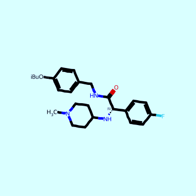 CC(C)COc1ccc(CNC(=O)[C@@H](NC2CCN(C)CC2)c2ccc(F)cc2)cc1